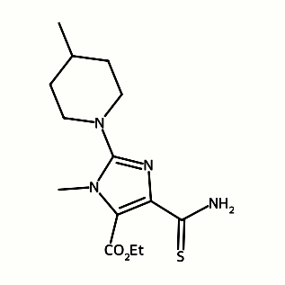 CCOC(=O)c1c(C(N)=S)nc(N2CCC(C)CC2)n1C